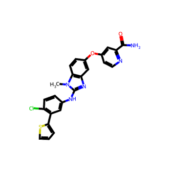 Cn1c(Nc2ccc(Cl)c(-c3cccs3)c2)nc2cc(Oc3ccnc(C(N)=O)c3)ccc21